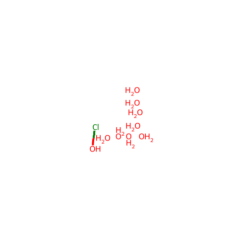 O.O.O.O.O.O.O.O.OCl